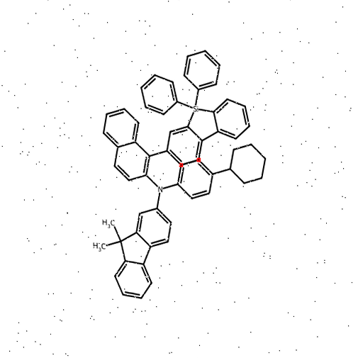 CC1(C)c2ccccc2-c2ccc(N(c3ccc(C4CCCCC4)cc3)c3ccc4ccccc4c3-c3ccc4c(c3)[Si](c3ccccc3)(c3ccccc3)c3ccccc3-4)cc21